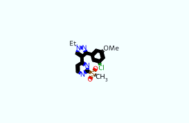 CCn1cc(-c2ccnc(S(C)(=O)=O)n2)c(-c2cc(Cl)cc(OC)c2)n1